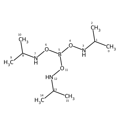 CC(C)NOB(ONC(C)C)ONC(C)C